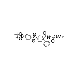 COC(=O)CN1C(=O)C2(CCN(S(=O)(=O)c3ccc(B4OC(C)(C)C(C)(C)O4)cc3)CC2)c2ccccc21